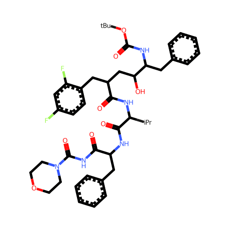 CC(C)C(NC(=O)C(Cc1ccc(F)cc1F)CC(O)C(Cc1ccccc1)NC(=O)OC(C)(C)C)C(=O)NC(Cc1ccccc1)C(=O)NC(=O)N1CCOCC1